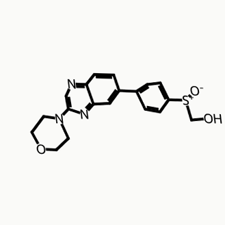 [O-][S+](CO)c1ccc(-c2ccc3ncc(N4CCOCC4)nc3c2)cc1